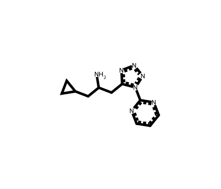 NC(Cc1nnnn1-c1ncccn1)CC1CC1